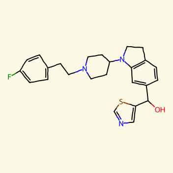 OC(c1ccc2c(c1)N(C1CCN(CCc3ccc(F)cc3)CC1)CC2)c1cncs1